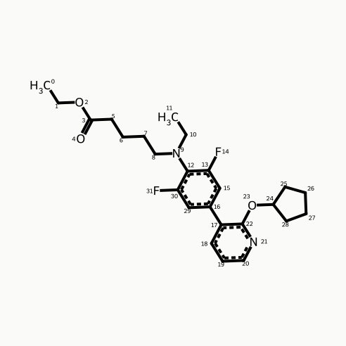 CCOC(=O)CCCCN(CC)c1c(F)cc(-c2cccnc2OC2CCCC2)cc1F